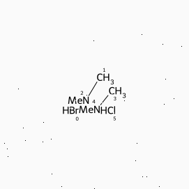 Br.CNC.CNC.Cl